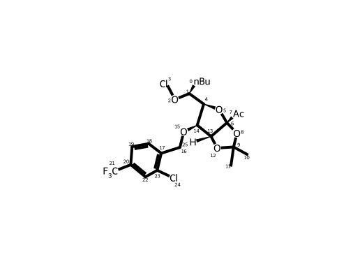 CCCC[C@H](OCl)[C@H]1O[C@]2(C(C)=O)OC(C)(C)O[C@@H]2[C@H]1OCc1ccc(C(F)(F)F)cc1Cl